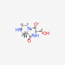 O=C1N[C@H](CO)C(=O)N2CCNC[C@H]12